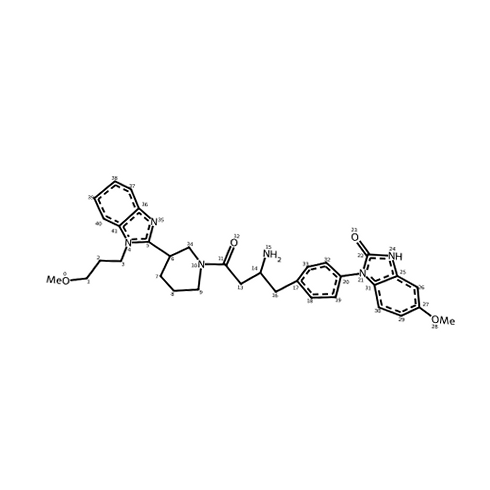 COCCCn1c(C2CCCN(C(=O)CC(N)Cc3ccc(-n4c(=O)[nH]c5cc(OC)ccc54)cc3)C2)nc2ccccc21